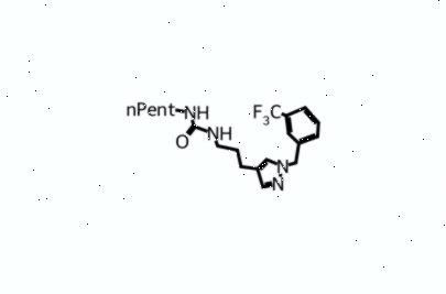 CCCCCNC(=O)NCCCc1cnn(Cc2cccc(C(F)(F)F)c2)c1